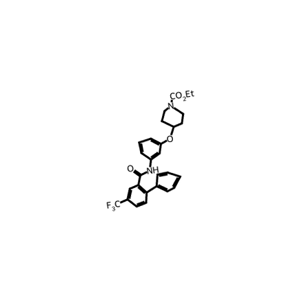 CCOC(=O)N1CCC(Oc2cccc(NC(=O)c3cc(C(F)(F)F)ccc3-c3ccccc3)c2)CC1